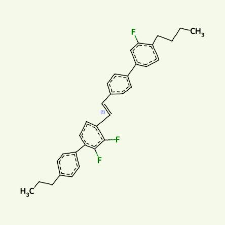 CCCCc1ccc(-c2ccc(/C=C/c3ccc(-c4ccc(CCC)cc4)c(F)c3F)cc2)cc1F